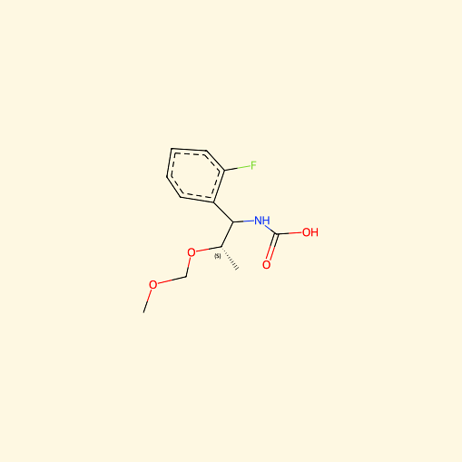 COCO[C@@H](C)C(NC(=O)O)c1ccccc1F